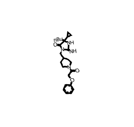 CCCCC1(C2CC2)NC(=N)N(CC2CCN(C(=O)COc3ccccc3)CC2)C1=O